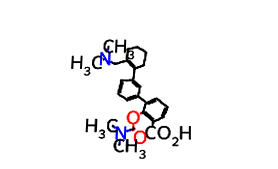 CN(C)CC1=C(c2cccc(-c3cccc(C(=O)O)c3OC(=O)N(C)C)c2)CCCC1